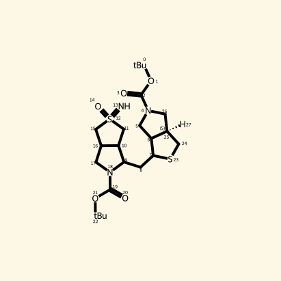 CC(C)(C)OC(=O)N1CC2C(CC3C4CS(=N)(=O)CC4CN3C(=O)OC(C)(C)C)SC[C@@H]2C1